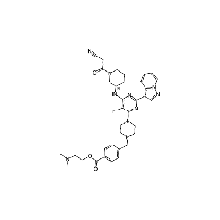 CN(C)CCOC(=O)c1ccc(CN2CCN(c3nc(-c4cnn5ccccc45)nc(N[C@@H]4CCCN(C(=O)CC#N)C4)c3F)CC2)cc1